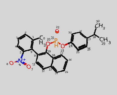 Cc1cccc([N+](=O)[O-])c1-c1ccc2ccccc2c1O[PH](=O)Oc1ccc(C(C)C)cc1